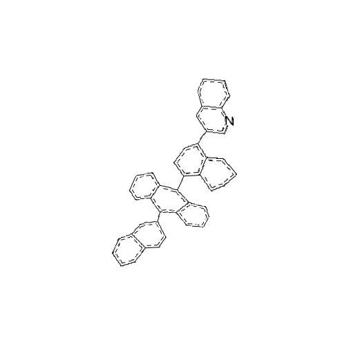 c1ccc2cc(-c3c4ccccc4c(-c4ccc(-c5cnc6ccccc6c5)c5ccccc45)c4ccccc34)ccc2c1